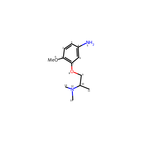 COc1ccc(N)cc1OCC(C)N(C)C